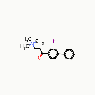 C[N+](C)(C)CCC(=O)c1ccc(-c2ccccc2)cc1.[I-]